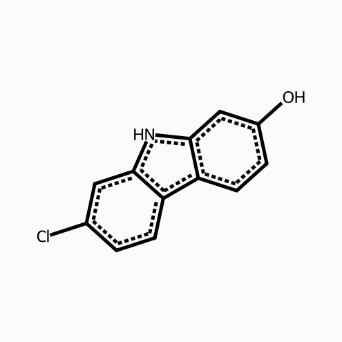 Oc1ccc2c(c1)[nH]c1cc(Cl)ccc12